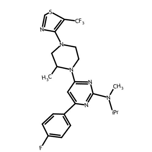 CC(C)N(C)c1nc(-c2ccc(F)cc2)cc(N2CCN(c3ncsc3C(F)(F)F)CC2C)n1